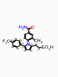 Cc1cc(C(N)=O)ccc1-n1c(CCC(=O)O)ccc1-c1ccc(C(F)(F)F)cc1